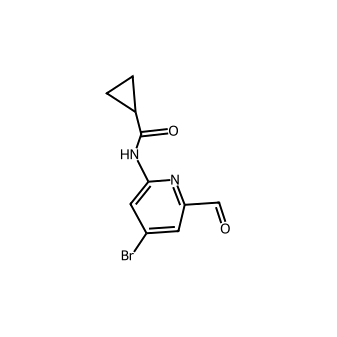 O=Cc1cc(Br)cc(NC(=O)C2CC2)n1